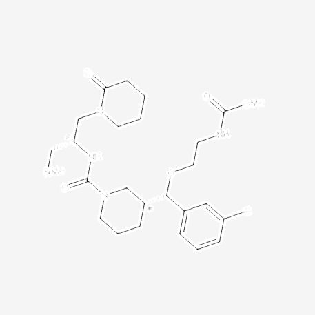 CNC[C@H](CN1CCCCC1=O)NC(=O)N1CCC[C@@H](C(OCCNC(=O)OC)c2cccc(Cl)c2)C1